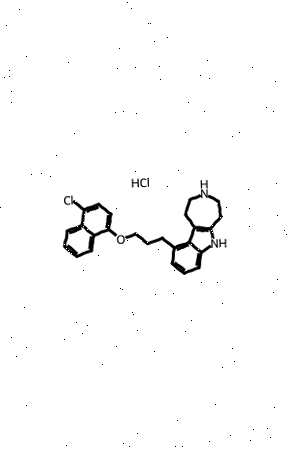 Cl.Clc1ccc(OCCCc2cccc3[nH]c4c(c23)CCNCC4)c2ccccc12